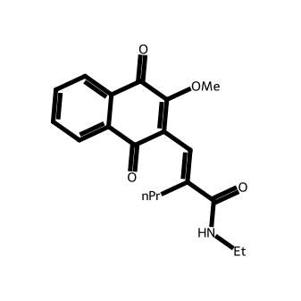 CCC/C(=C\C1=C(OC)C(=O)c2ccccc2C1=O)C(=O)NCC